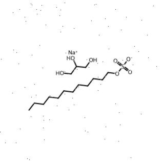 CCCCCCCCCCCCOS(=O)(=O)[O-].OCC(O)CO.[Na+]